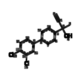 C#CC(C)(O)c1ccc(-c2ccc(Cl)c(Cl)c2)cc1